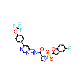 O=C(NCc1cc(-c2ccc(OC(F)(F)F)cc2)ncn1)C1CCN1S(=O)(=O)c1cc2cc(F)ccc2o1